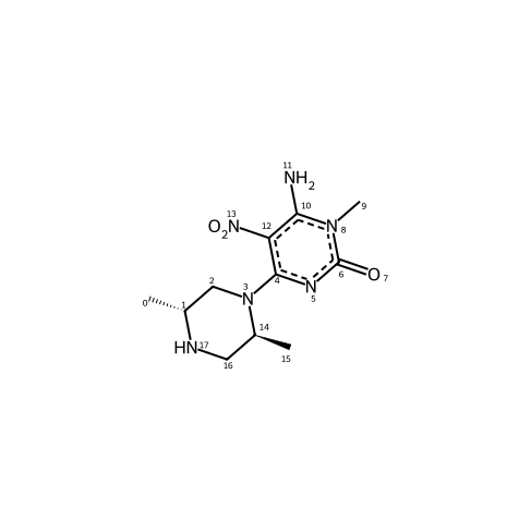 C[C@@H]1CN(c2nc(=O)n(C)c(N)c2[N+](=O)[O-])[C@@H](C)CN1